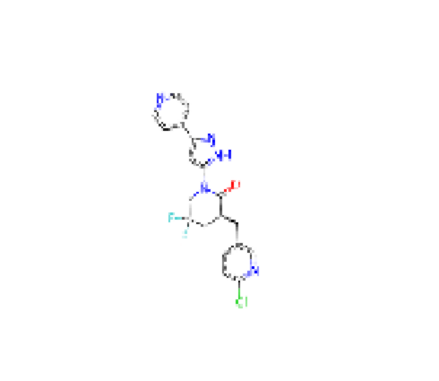 O=C1[C@@H](Cc2ccc(Cl)nc2)CC(F)(F)CN1c1cc(-c2ccncc2)n[nH]1